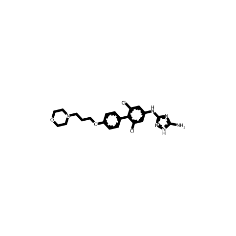 Nc1nc(Nc2cc(Cl)c(-c3ccc(OCCCN4CCOCC4)cc3)c(Cl)c2)n[nH]1